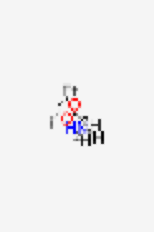 [2H]C([2H])([2H])NCC(=O)OC(CC)CCC=C